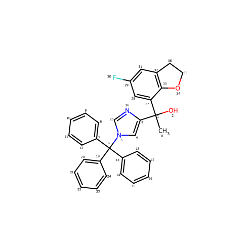 CC(O)(c1cn(C(c2ccccc2)(c2ccccc2)c2ccccc2)cn1)c1cc(F)cc2c1OCC2